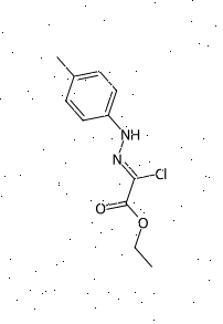 CCOC(=O)C(Cl)=NNc1ccc(C)cc1